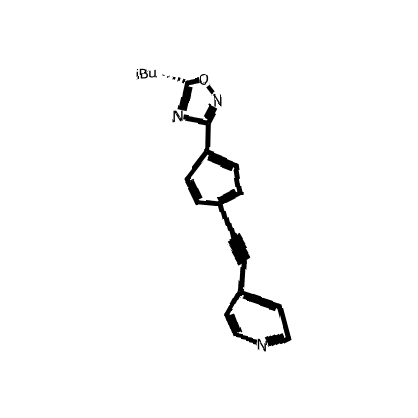 CC[C@@H](C)c1nc(-c2ccc(C#Cc3ccncc3)cc2)no1